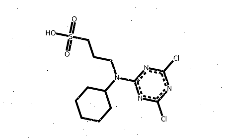 O=S(=O)(O)CCCN(c1nc(Cl)nc(Cl)n1)C1CCCCC1